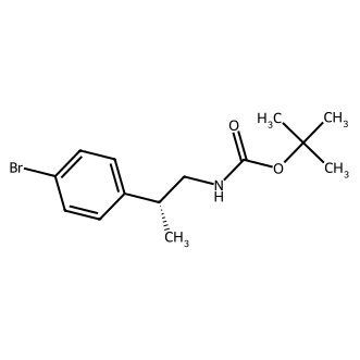 C[C@@H](CNC(=O)OC(C)(C)C)c1ccc(Br)cc1